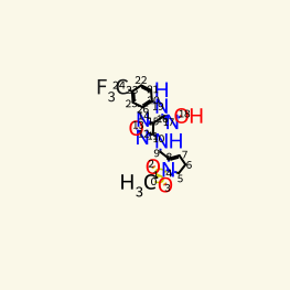 CS(=O)(=O)N1CCC=C1CNc1nonc1/C(=N/O)Nc1ccc(C(F)(F)F)cc1